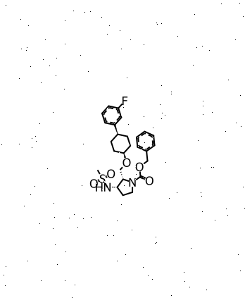 CS(=O)(=O)N[C@H]1CCN(C(=O)OCc2ccccc2)[C@H]1CO[C@H]1CC[C@@H](c2cccc(F)c2)CC1